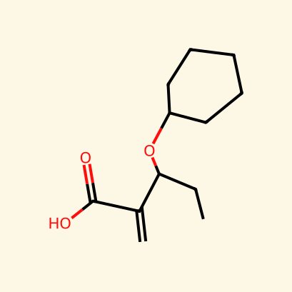 C=C(C(=O)O)C(CC)OC1CCCCC1